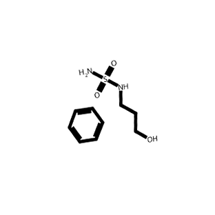 NS(=O)(=O)NCCCO.c1ccccc1